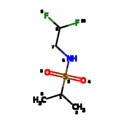 CC(C)S(=O)(=O)NCC(F)F